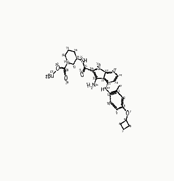 Cc1cc(OC2CCC2)ccc1Nc1ccnc2sc(C(=O)N[C@@H]3CCCN(C(=O)OC(C)(C)C)C3)c(N)c12